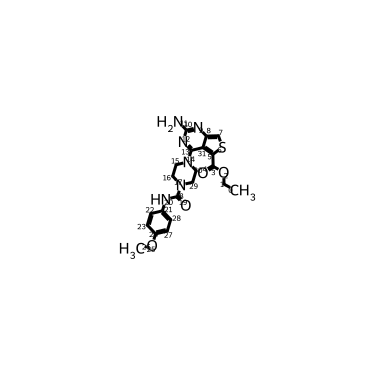 CCOC(=O)c1scc2nc(N)nc(N3CCN(C(=O)Nc4ccc(OC)cc4)CC3)c12